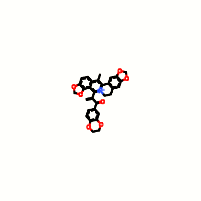 C=C(C(=O)c1ccc2c(c1)OCCO2)c1c2c3c(ccc2c(C)c2[n+]1CCc1cc4c(cc1-2)OCO4)OCO3